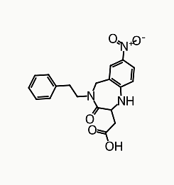 O=C(O)CC1Nc2ccc([N+](=O)[O-])cc2CN(CCc2ccccc2)C1=O